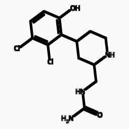 NC(=O)NCC1CC(c2c(O)ccc(Cl)c2Cl)CCN1